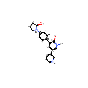 Cn1cc(-c2cccnc2)cc(-c2ccc(N3CCCC3=O)cc2)c1=O